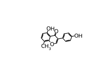 Cc1ccc(O)c2c(=O)c(-c3ccc(O)cc3)coc12